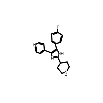 Fc1ccc(-c2[nH]c(C3CCNCC3)nc2-c2ccncc2)cc1